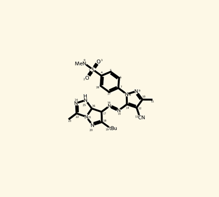 CNS(=O)(=O)c1ccc(-n2nc(C)c(C#N)c2N=NC2C(C(C)(C)C)=NN3C(C)=NNC23)cc1